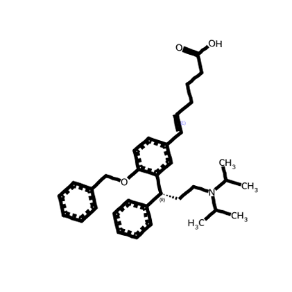 CC(C)N(CC[C@H](c1ccccc1)c1cc(/C=C/CCCC(=O)O)ccc1OCc1ccccc1)C(C)C